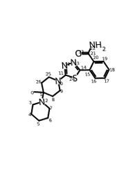 CC1(N2CCCCC2)CCN(c2nnc(-c3ccccc3C(N)=O)s2)CC1